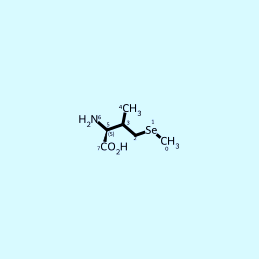 C[Se]CC(C)[C@H](N)C(=O)O